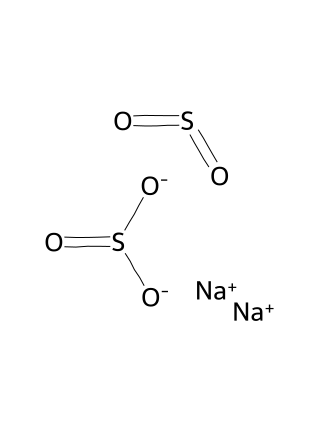 O=S([O-])[O-].O=S=O.[Na+].[Na+]